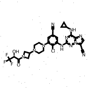 N#Cc1cc(Nc2nc(NC3CC3)c3ncc(C#N)n3n2)c(Cl)c(N2CCN(C3CN(C(=O)[C@H](O)C(F)(F)F)C3)CC2)c1